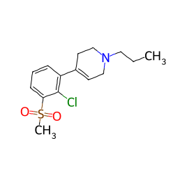 CCCN1CC=C(c2cccc(S(C)(=O)=O)c2Cl)CC1